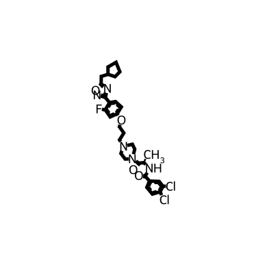 C[C@@H](NC(=O)c1ccc(Cl)c(Cl)c1)C(=O)N1CCN(CCCOc2ccc(-c3noc(CC4CCCC4)n3)c(F)c2)CC1